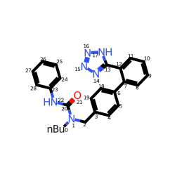 CCCCN(Cc1ccc(-c2ccccc2-c2nnn[nH]2)cc1)C(=O)Nc1ccccc1